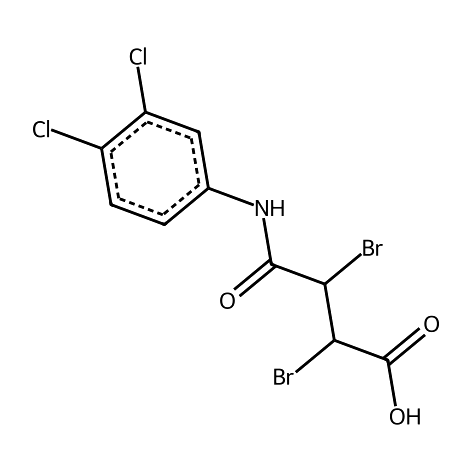 O=C(O)C(Br)C(Br)C(=O)Nc1ccc(Cl)c(Cl)c1